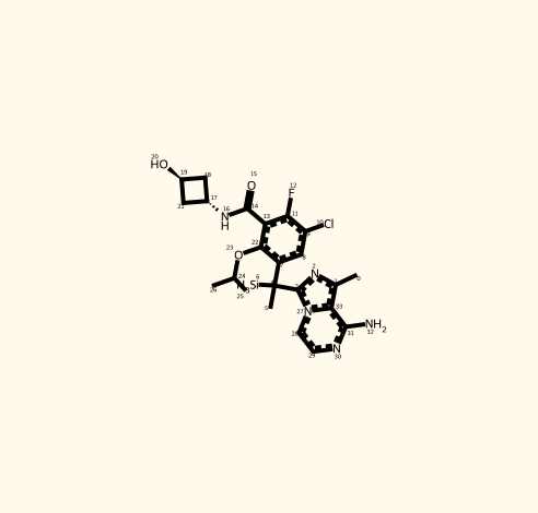 Cc1nc(C(C)([SiH3])c2cc(Cl)c(F)c(C(=O)N[C@H]3C[C@H](O)C3)c2OC(C)C)n2ccnc(N)c12